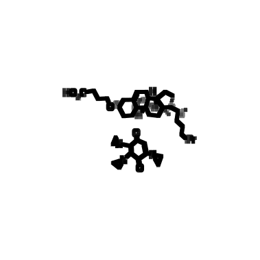 CC(C)CCC[C@@H](C)[C@H]1CC[C@H]2[C@@H]3CC=C4C[C@@H](OCCCC(=O)O)CC[C@]4(C)[C@H]3CC[C@]12C.O=C1C=C(N2CC2)C(=O)C(N2CC2)=C1N1CC1